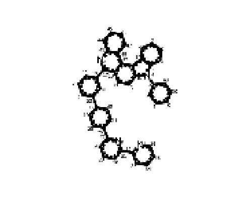 c1ccc(-n2c3ccccc3c3c4c(ccc32)c(-c2cccc(-c3ccc(-c5cccc(-c6ccccn6)n5)cc3)c2)nc2ccccc24)cc1